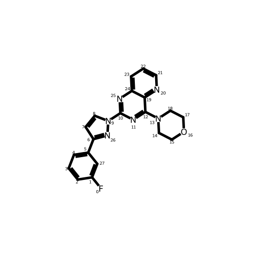 Fc1cccc(-c2ccn(-c3nc(N4CCOCC4)c4ncccc4n3)n2)c1